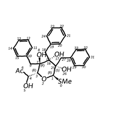 CS[C@H]1O[C@H](C(O)C(C)=O)[C@](O)(Cc2ccccc2)[C@@](O)(Cc2ccccc2)[C@@]1(O)Cc1ccccc1